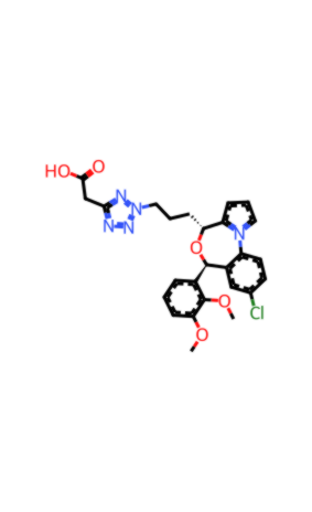 COc1cccc([C@H]2O[C@H](CCCn3nnc(CC(=O)O)n3)c3cccn3-c3ccc(Cl)cc32)c1OC